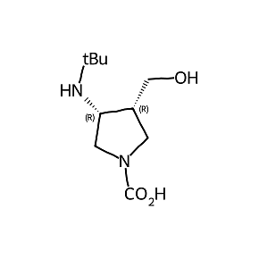 CC(C)(C)N[C@H]1CN(C(=O)O)C[C@H]1CO